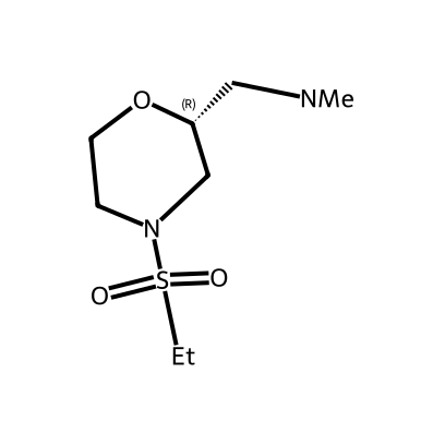 CCS(=O)(=O)N1CCO[C@H](CNC)C1